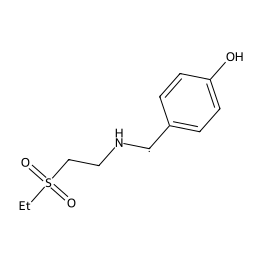 CCS(=O)(=O)CCN[CH]c1ccc(O)cc1